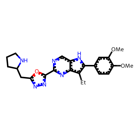 CCc1c(-c2ccc(OC)c(OC)c2)[nH]c2cnc(-c3nnc(CC4CCCN4)o3)nc12